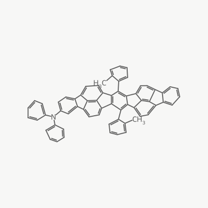 Cc1ccccc1-c1c2c3ccc4c5c(ccc(c2c(-c2ccccc2C)c2c6ccc7c8c(ccc(c12)c86)-c1ccc(N(c2ccccc2)c2ccccc2)cc1-7)c53)-c1ccccc1-4